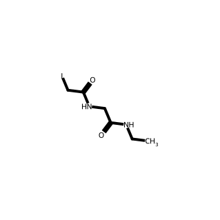 CCNC(=O)CNC(=O)CI